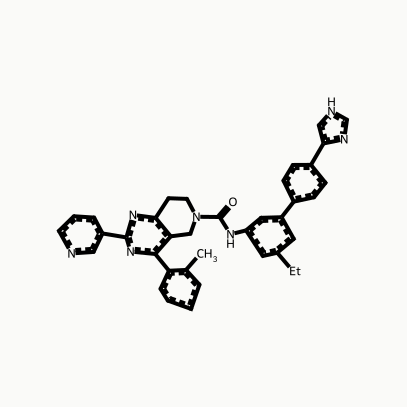 CCc1cc(NC(=O)N2CCc3nc(-c4cccnc4)nc(-c4ccccc4C)c3C2)cc(-c2ccc(-c3c[nH]cn3)cc2)c1